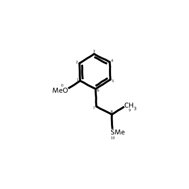 COc1ccccc1CC(C)SC